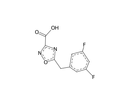 O=C(O)c1noc(Cc2cc(F)cc(F)c2)n1